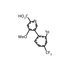 [2H]c1cc(C(F)(F)F)ccc1-c1cnc(C(=O)O)cc1OC